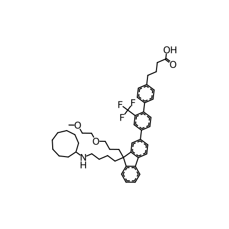 COCCOCCCC1(CCCCNC2CCCCCCCC2)c2ccccc2-c2ccc(-c3ccc(-c4ccc(CCCC(=O)O)cc4)c(C(F)(F)F)c3)cc21